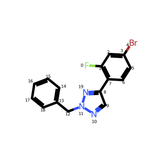 Fc1cc(Br)ccc1-c1cnn(Cc2ccccc2)n1